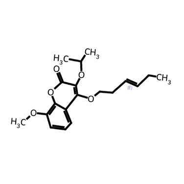 CC/C=C/CCOc1c(OC(C)C)c(=O)oc2c(OC)cccc12